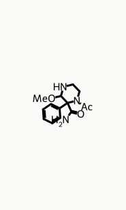 COC1NCCN(C(C)=O)C1(C(N)=O)c1ccccc1